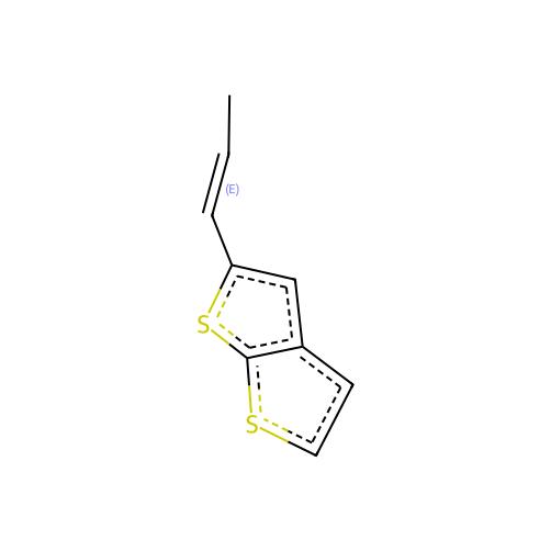 C/C=C/c1cc2ccsc2s1